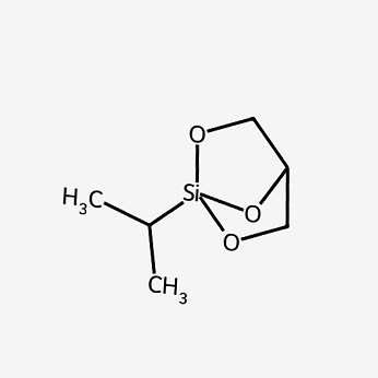 CC(C)[Si]12OCC(CO1)O2